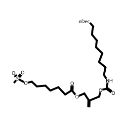 C=C(COC(=O)CCCCCCOS(C)(=O)=O)COC(=O)NCCCCCCCCCCCCCCCCCC